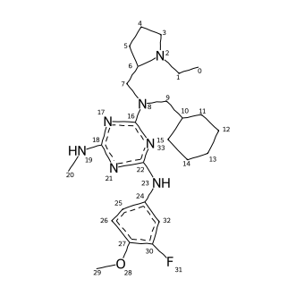 CCN1CCCC1CN(CC1CCCCC1)c1nc(NC)nc(Nc2ccc(OC)c(F)c2)n1